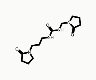 O=C(NCCCN1CCCC1=O)NCN1CCCC1=O